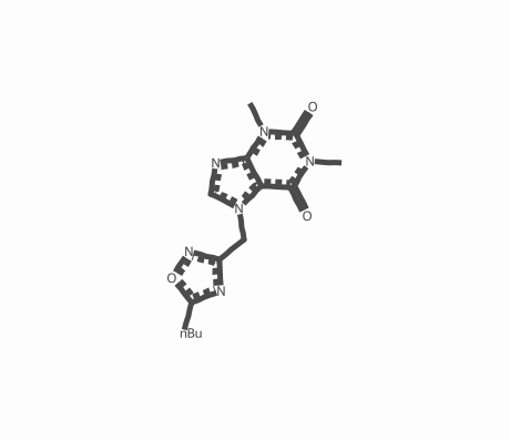 CCCCc1nc(Cn2cnc3c2c(=O)n(C)c(=O)n3C)no1